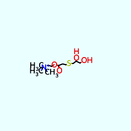 C[N+](C)(C)CCOC(=O)CCSCC(O)CO